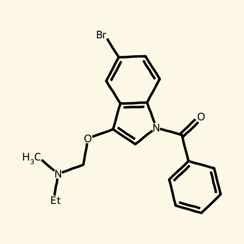 CCN(C)COc1cn(C(=O)c2ccccc2)c2ccc(Br)cc12